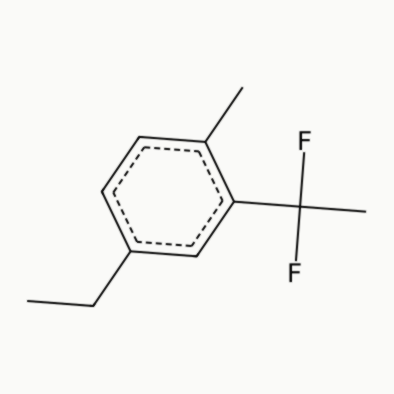 CCc1ccc(C)c(C(C)(F)F)c1